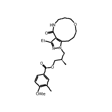 CCc1nn(C[C@@H](C)COC(=O)c2ccc(OC)c(C)c2)c2c1C(=O)NCCCOCCC2